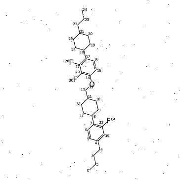 CCCCc1ccc(C2CCC(COc3ccc(C4CCC(CCC)CC4)c(F)c3F)CC2)c(F)c1